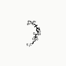 CC(C)[Si](OCC(C)(C)c1cc(NC(=O)C(C)(C)S(=O)(=O)CCCC(F)(F)F)on1)(C(C)C)C(C)C